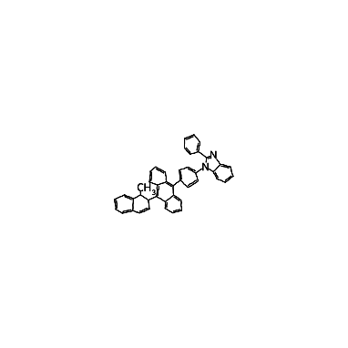 CC1c2ccccc2C=CC1c1c2ccccc2c(-c2ccc(-n3c(-c4ccccc4)nc4ccccc43)cc2)c2ccccc12